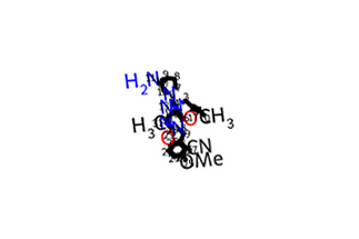 CC#CCn1c(N2CCC[C@@H](N)C2)nc2c1c(=O)n(Cc1cccc(OC)c1C#N)c(=O)n2C